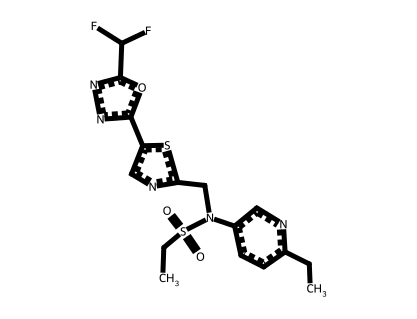 CCc1ccc(N(Cc2ncc(-c3nnc(C(F)F)o3)s2)S(=O)(=O)CC)cn1